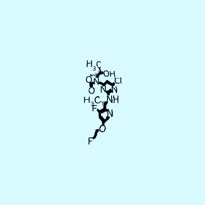 C[C@H](Nc1nc(Cl)cc(N2C(=O)OC[C@@H]2[C@@H](C)O)n1)c1ncc(OCCF)cc1F